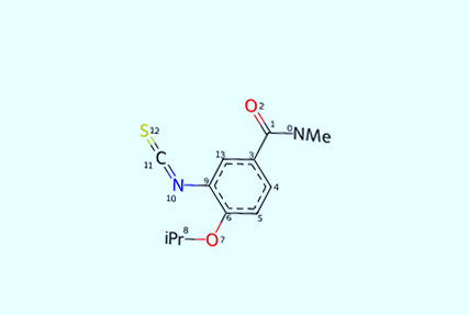 CNC(=O)c1ccc(OC(C)C)c(N=C=S)c1